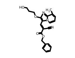 Cc1cccn2c(C=C(C#N)C(=O)OCc3ccccc3)c(OCCCO)nc12